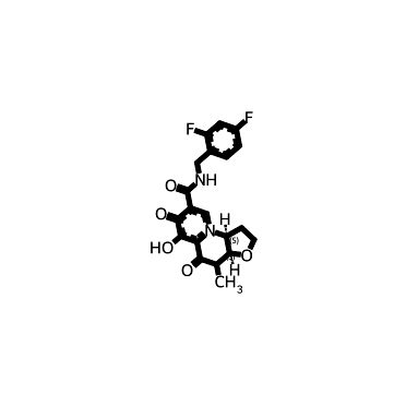 CC1C(=O)c2c(O)c(=O)c(C(=O)NCc3ccc(F)cc3F)cn2[C@H]2CCO[C@@H]12